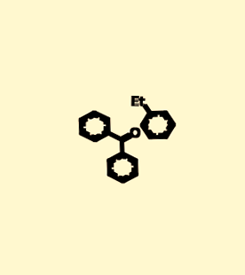 CCc1ccccc1.O=C(c1ccccc1)c1ccccc1